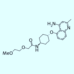 COCCOCC(=O)N[C@H]1CC[C@H](Oc2cccc3nc(C)cc(N)c23)CC1